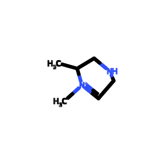 CC1CNCC=[N+]1C